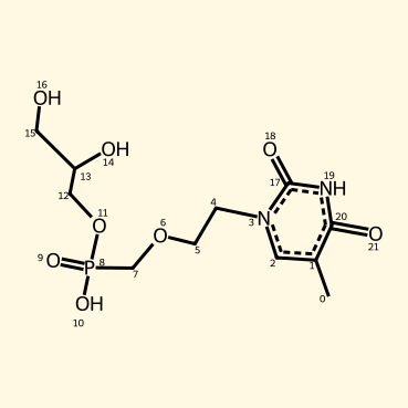 Cc1cn(CCOCP(=O)(O)OCC(O)CO)c(=O)[nH]c1=O